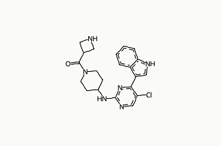 O=C(C1CNC1)N1CCC(Nc2ncc(Cl)c(-c3c[nH]c4ccccc34)n2)CC1